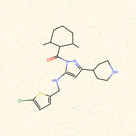 CC1CCCC(C)C1C(=O)n1nc(C2CCNCC2)cc1NCc1ccc(Cl)s1